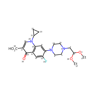 CCOC(CN1CCN(c2cc3c(cc2F)c(=O)c(C(=O)O)cn3C2CC2)CC1)OCC